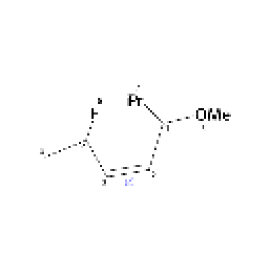 COC(/C=C\C(C)F)C(C)C